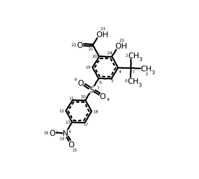 CC(C)(C)c1cc(S(=O)(=O)c2ccc([N+](=O)[O-])cc2)cc(C(=O)O)c1O